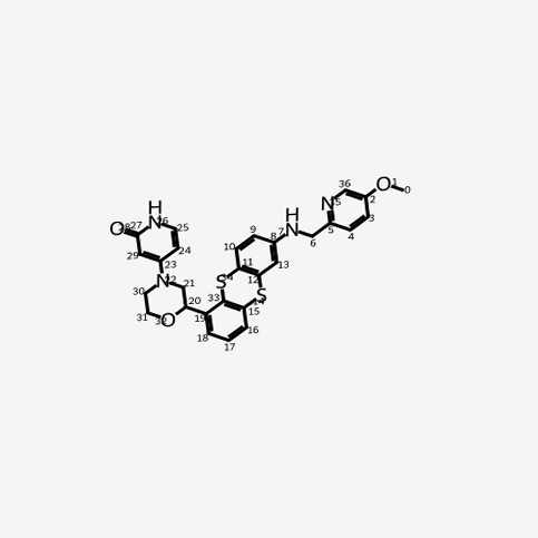 COc1ccc(CNc2ccc3c(c2)Sc2cccc(C4CN(c5cc[nH]c(=O)c5)CCO4)c2S3)nc1